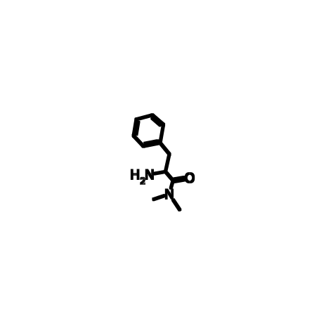 CN(C)C(=O)C(N)Cc1ccccc1